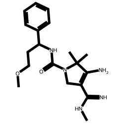 CNC(=N)C1=C(N)C(C)(C)N(C(=O)NC(CCOC)c2ccccc2)C1